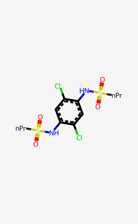 CCCS(=O)(=O)Nc1cc(Cl)c(NS(=O)(=O)CCC)cc1Cl